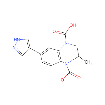 CC1CN(C(=O)O)c2cc(-c3cn[nH]c3)ccc2N1C(=O)O